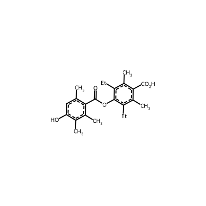 CCc1c(C)c(C(=O)O)c(C)c(CC)c1OC(=O)c1c(C)cc(O)c(C)c1C